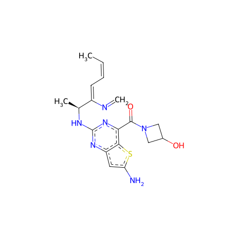 C=N/C(=C\C=C/C)[C@H](C)Nc1nc(C(=O)N2CC(O)C2)c2sc(N)cc2n1